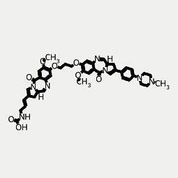 COc1cc2c(cc1OCCCOc1cc3c(cc1OC)C(=O)N1C=C(c4ccc(N5CCN(C)CC5)cc4)C[C@H]1C=N3)N=C[C@@H]1CC(/C=C/CNC(=O)O)=CN1C2=O